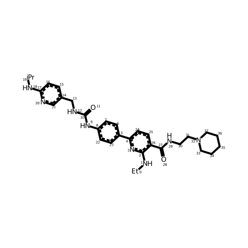 CCNc1nc(-c2ccc(NC(=O)NCc3ccc(NC(C)C)nc3)cc2)ccc1C(=O)NCCN1CCCCC1